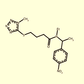 CCN(C(=O)CCCSc1nnnn1C)C(C)c1ccc([N+](=O)[O-])cc1